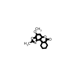 COc1cc2oc(=O)c3c(c2c2nc(C)oc12)CCCC3